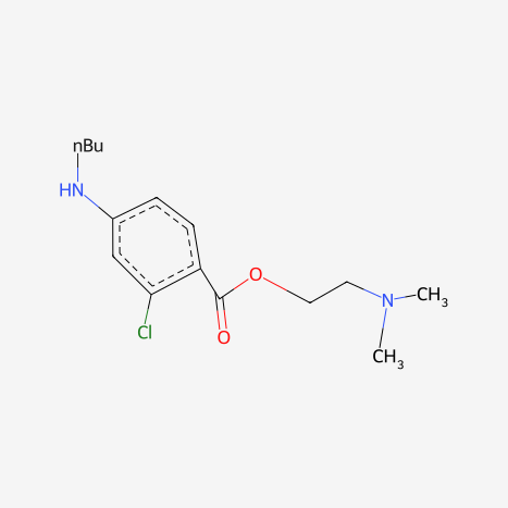 CCCCNc1ccc(C(=O)OCCN(C)C)c(Cl)c1